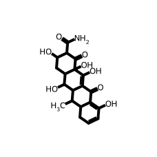 CC1C2CC=CC(O)=C2C(=O)C2=C(O)C3(O)C(=O)C(C(N)=O)C(O)CC3C(O)C21